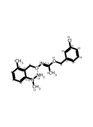 C/C(=N\OCc1c(C)cccc1N(C)N)OCc1cccc(Cl)c1